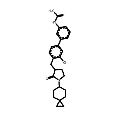 CC(=O)Nc1cccc(-c2ccc(CC3CCN(C4CCC5(CC4)CC5)C3=O)c(Cl)c2)c1